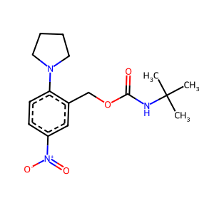 CC(C)(C)NC(=O)OCc1cc([N+](=O)[O-])ccc1N1CCCC1